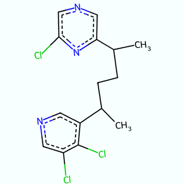 CC(CCC(C)c1cncc(Cl)c1Cl)c1cncc(Cl)n1